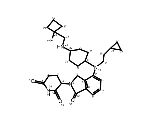 O=C1CCC(N2Cc3c(cccc3N(CCC3CC3)C3CCC(NCC4(F)CCC4)CC3)C2=O)C(=O)N1